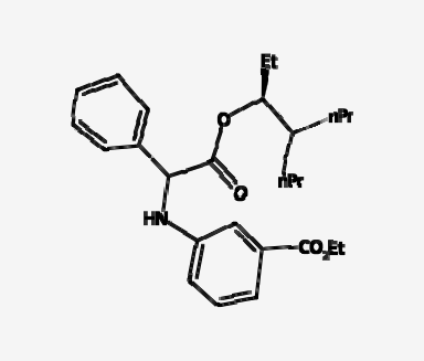 CCCC(CCC)[C@H](CC)OC(=O)C(Nc1cccc(C(=O)OCC)c1)c1ccccc1